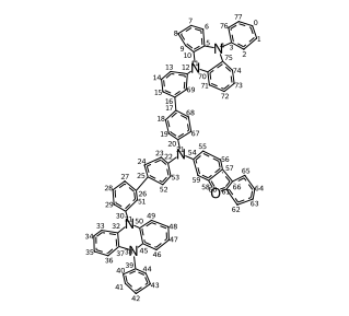 c1ccc(N2c3ccccc3N(c3cccc(-c4ccc(N(c5ccc(-c6cccc(N7c8ccccc8N(c8ccccc8)c8ccccc87)c6)cc5)c5ccc6c(c5)oc5ccccc56)cc4)c3)c3ccccc32)cc1